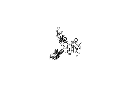 CCCc1nc(C)c2c(=O)nc(-c3cc(S(=O)(=O)N4CCN(CC)CC4)ccc3OCC)[nH]n12.Cl.O.O.O.O.O